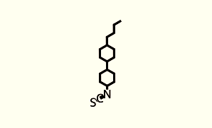 CCCCC1CCC(C2CCC(N=C=S)CC2)CC1